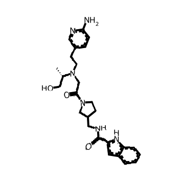 C[C@@H](CO)N(CCc1ccc(N)nc1)CC(=O)N1CCC(CNC(=O)c2cc3ccccc3[nH]2)C1